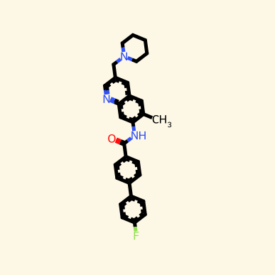 Cc1cc2cc(CN3CCCCC3)cnc2cc1NC(=O)c1ccc(-c2ccc(F)cc2)cc1